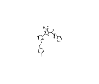 Cc1nc(-c2cncc(CCc3ccc(F)cc3)n2)sc1C(=O)NCc1ccccc1